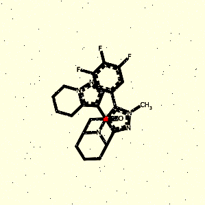 Cn1nc2c(c1-c1cc(F)c(F)c(F)c1)CC1CCCC2N1C(=O)c1cnn2c1CCCC2